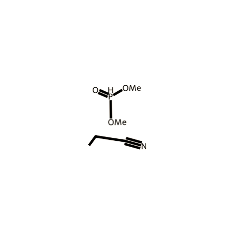 CCC#N.CO[PH](=O)OC